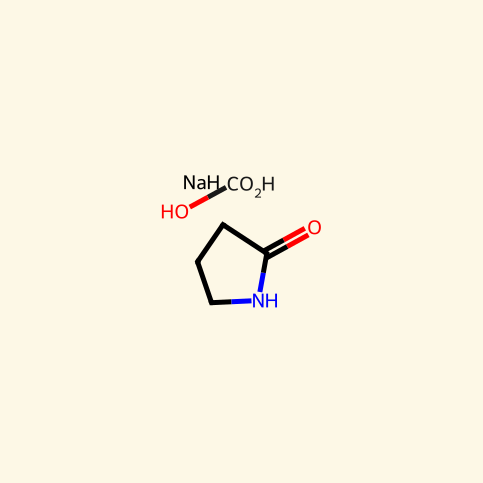 O=C(O)O.O=C1CCCN1.[NaH]